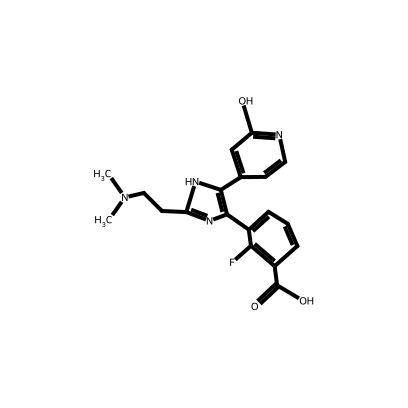 CN(C)CCc1nc(-c2cccc(C(=O)O)c2F)c(-c2ccnc(O)c2)[nH]1